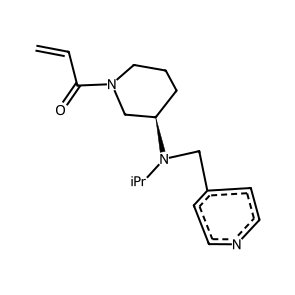 C=CC(=O)N1CCC[C@@H](N(Cc2ccncc2)C(C)C)C1